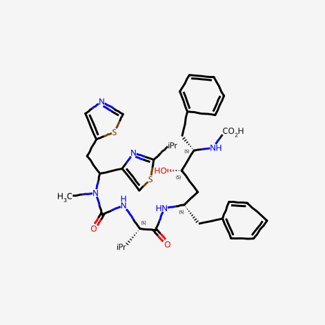 CC(C)c1nc(C(Cc2cncs2)N(C)C(=O)N[C@H](C(=O)N[C@@H](Cc2ccccc2)C[C@H](O)[C@H](Cc2ccccc2)NC(=O)O)C(C)C)cs1